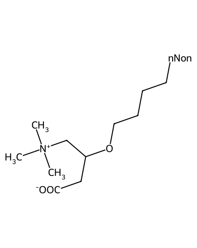 CCCCCCCCCCCCCOC(CC(=O)[O-])C[N+](C)(C)C